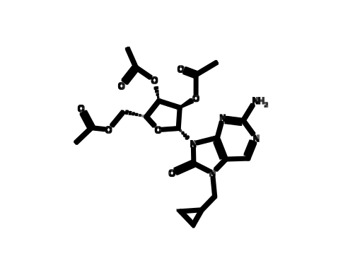 CC(=O)OC[C@H]1O[C@@H](n2c(=O)n(CC3CC3)c3cnc(N)nc32)[C@H](OC(C)=O)[C@H]1OC(C)=O